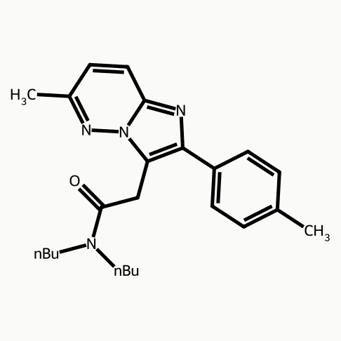 CCCCN(CCCC)C(=O)Cc1c(-c2ccc(C)cc2)nc2ccc(C)nn12